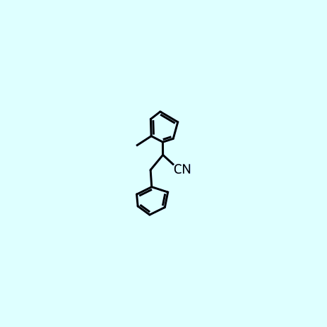 Cc1ccccc1C(C#N)Cc1ccccc1